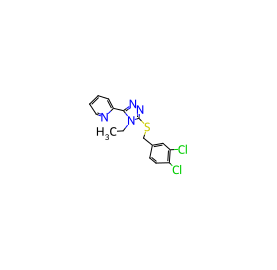 CCn1c(SCc2ccc(Cl)c(Cl)c2)nnc1-c1ccccn1